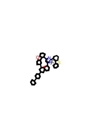 CC12C(c3nc(-c4ccccc4)cc(-c4cccc5oc6ccc(-c7cccc(-c8ccc(-c9ccccc9)cc8)c7)cc6c45)n3)=CCCC1Sc1ccccc12